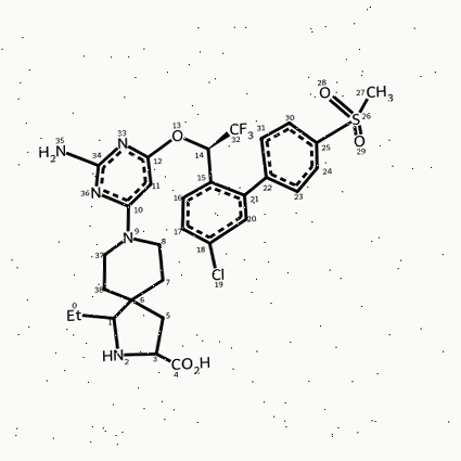 CCC1NC(C(=O)O)CC12CCN(c1cc(O[C@H](c3ccc(Cl)cc3-c3ccc(S(C)(=O)=O)cc3)C(F)(F)F)nc(N)n1)CC2